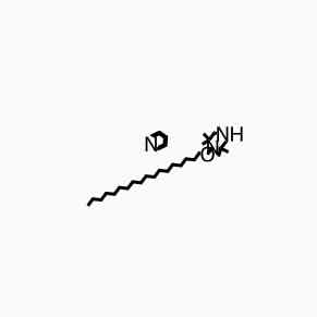 CCCCCCCCCCCCCCCCCCON1C(C)(C)CNCC1(C)C.c1ccncc1